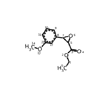 CCOC(=O)C1OC1c1cccc(OC)c1